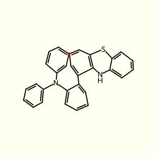 c1ccc(N(c2ccccc2)c2ccccc2-c2cccc3c2Nc2ccccc2S3)cc1